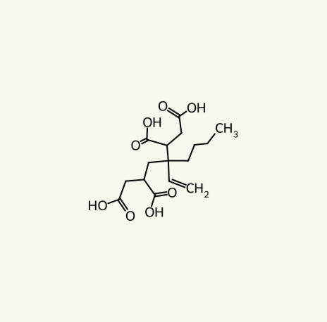 C=CC(CCCC)(CC(CC(=O)O)C(=O)O)C(CC(=O)O)C(=O)O